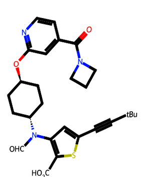 CC(C)(C)C#Cc1cc(N(C=O)[C@H]2CC[C@H](Oc3cc(C(=O)N4CCC4)ccn3)CC2)c(C(=O)O)s1